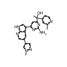 Cc1cc(C(C)(O)c2cc(-c3c[nH]c4ncc(-c5cnn(C)c5)cc34)nc(N)n2)ccn1